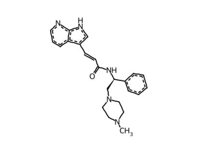 CN1CCN(C[C@@H](NC(=O)/C=C/c2c[nH]c3ncccc23)c2ccccc2)CC1